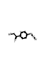 [N-]=[N+]=Nc1ccc(C(=O)CBr)cc1